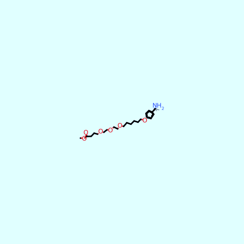 COC(=O)CCCOCCOCCOCCCCCCOc1ccc([C@@H](C)N)cc1